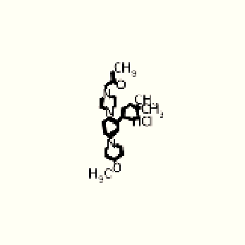 CCC(=O)CN1CCN(c2ccc(N3CCC(OC)CC3)cc2C2CCC(C)(C)CC2)CC1.Cl